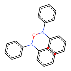 c1ccc(N(ON(c2ccccc2)c2ccccc2)c2ccccc2)cc1